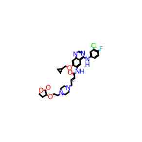 O=C(/C=C/CN1CCN(CCOC2CCOC2=O)CC1)Nc1cc2c(Nc3ccc(F)c(Cl)c3)ncnc2cc1OCC1CC1